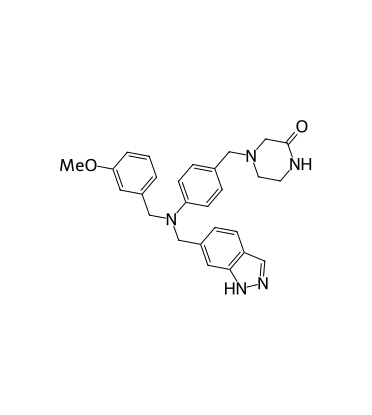 COc1cccc(CN(Cc2ccc3cn[nH]c3c2)c2ccc(CN3CCNC(=O)C3)cc2)c1